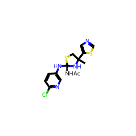 CC(=O)NC1(Nc2ccc(Cl)nc2)NC(C)(c2cncs2)CS1